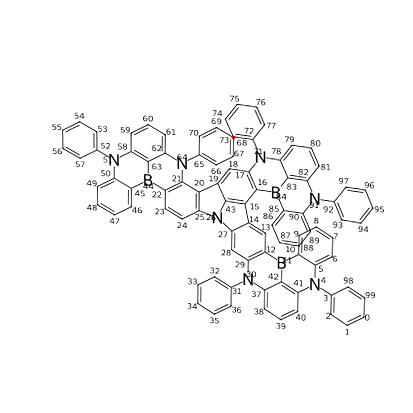 c1ccc(N2c3ccccc3B3c4cc5c6c7c(cc8c9c%10c(ccc9n(c5cc4N(c4ccccc4)c4cccc2c43)c86)B2c3ccccc3N(c3ccccc3)c3cccc(c32)N%10c2ccccc2)N(c2ccccc2)c2cccc3c2B7c2ccccc2N3c2ccccc2)cc1